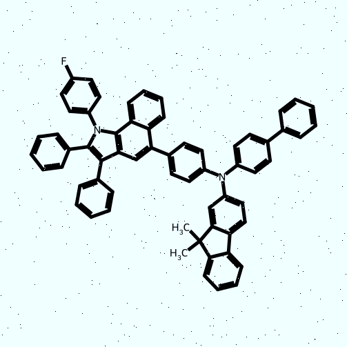 CC1(C)c2ccccc2-c2ccc(N(c3ccc(-c4ccccc4)cc3)c3ccc(-c4cc5c(-c6ccccc6)c(-c6ccccc6)n(-c6ccc(F)cc6)c5c5ccccc45)cc3)cc21